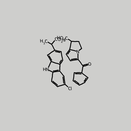 CC(C(=O)O)c1ccc2c(c1)[nH]c1ccc(Cl)cc12.O=C(c1ccccc1)c1ccc2n1CCC2C(=O)O